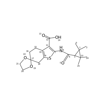 CC1(C)C(C(=O)Nc2sc3c(c2C(=O)O)CCC2(C3)OCCO2)C1(C)C